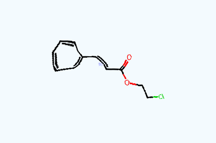 O=C(/C=C/c1ccccc1)OCCCl